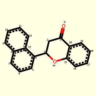 O=C1CC(c2cccc3ccccc23)Oc2ccccc21